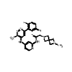 Cc1nnc(-c2cc(Cl)ccc2F)cc1Nc1ccnc(NC(=O)CN2CC3(CN(C)C3)C2)c1